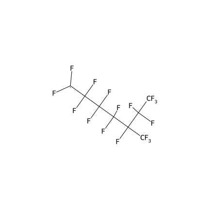 F[C](F)C(F)(F)C(F)(F)C(F)(F)C(F)(C(F)(F)F)C(F)(F)C(F)(F)F